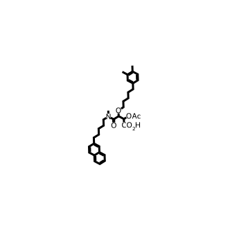 CC(=O)OC(C(=O)O)C(OCCCCCc1ccc(C)c(C)c1)C(=O)N(C)CCCCCc1ccc2ccccc2c1